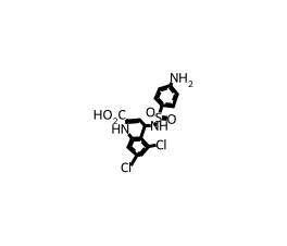 Nc1ccc(S(=O)(=O)NC2C=C(C(=O)O)Nc3cc(Cl)cc(Cl)c32)cc1